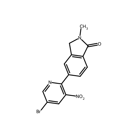 CN1Cc2cc(-c3ncc(Br)cc3[N+](=O)[O-])ccc2C1=O